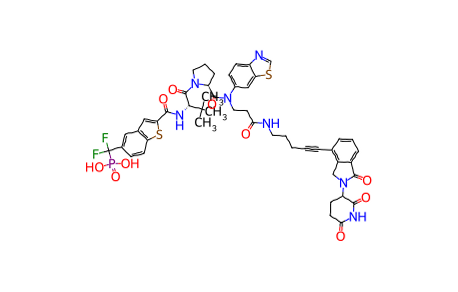 CC(C)(C)[C@H](NC(=O)c1cc2cc(C(F)(F)P(=O)(O)O)ccc2s1)C(=O)N1CCC[C@H]1C(=O)N(CCC(=O)NCCCC#Cc1cccc2c1CN(C1CCC(=O)NC1=O)C2=O)c1ccc2ncsc2c1